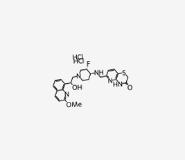 COc1ccc2cccc([C@H](O)CN3CC[C@H](NCc4ccc5c(n4)NC(=O)CS5)[C@@H](F)C3)c2n1.Cl.Cl